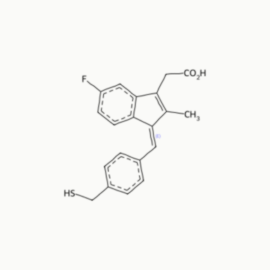 CC1=C(CC(=O)O)c2cc(F)ccc2/C1=C\c1ccc(CS)cc1